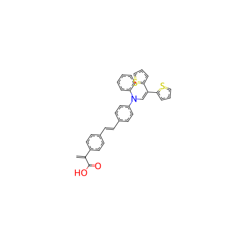 C=C(C(=O)O)c1ccc(C=Cc2ccc(N(C=C(c3cccs3)c3cccs3)c3ccccc3)cc2)cc1